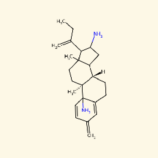 C=C1C=CC2(N)C(=C1)CC[C@H]1C3CC(N)C(C(=C)CC)C3(C)CC[C@@]12C